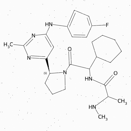 CNC(C)C(=O)NC(C(=O)N1CCC[C@H]1c1cc(Nc2ccc(F)cc2)nc(C)n1)C1CCCCC1